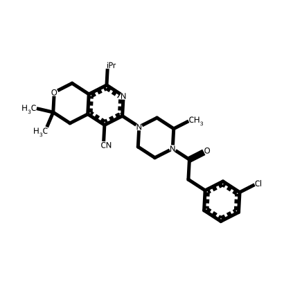 CC(C)c1nc(N2CCN(C(=O)Cc3cccc(Cl)c3)C(C)C2)c(C#N)c2c1COC(C)(C)C2